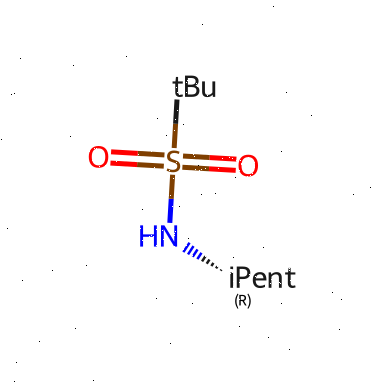 CCC[C@@H](C)NS(=O)(=O)C(C)(C)C